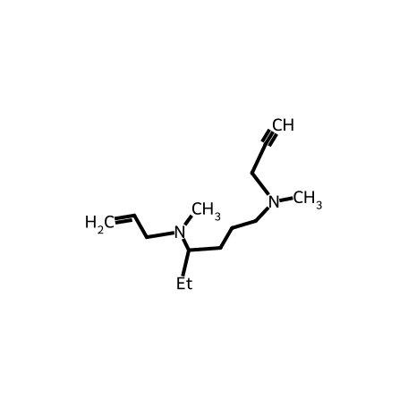 C#CCN(C)CCCC(C[CH2])N(C)CC=C